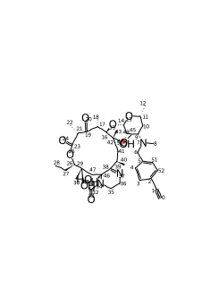 C#Cc1ccc(CN(C)[C@H]2C[C@@H](C)O[C@@H](O[C@@H]3[C@@H](C)C(=O)[C@@H](C)C(=O)O[C@H](CC)[C@@]4(C)OC(=O)N5CCN=C([C@H](C)C[C@@]3(C)OC)[C@H]5[C@H]4O)[C@H]2O)cc1